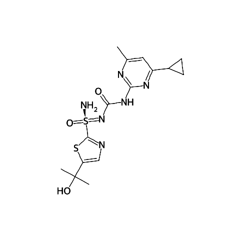 Cc1cc(C2CC2)nc(NC(=O)N=[S@@](N)(=O)c2ncc(C(C)(C)O)s2)n1